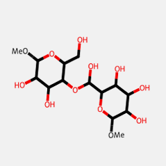 COC1OC(C(O)OC2C(CO)OC(OC)C(O)C2O)C(O)C(O)C1O